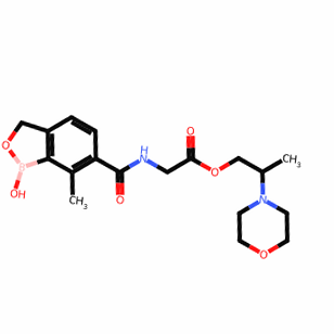 Cc1c(C(=O)NCC(=O)OCC(C)N2CCOCC2)ccc2c1B(O)OC2